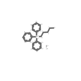 CCCCC[P+](c1ccccc1)(c1ccccc1)c1ccccc1.[F-]